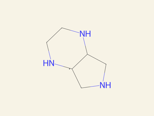 C1CNC2CNC[C]2N1